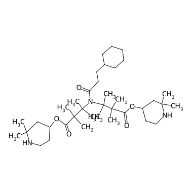 CC1(C)CC(OC(=O)C(C)(C)C(C)(C)N(C(=O)CCC2CCCCC2)C(C)(C)C(C)(C)C(=O)OC2CCNC(C)(C)C2)CCN1